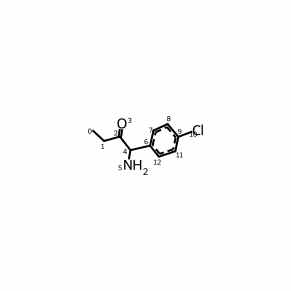 CCC(=O)C(N)c1ccc(Cl)cc1